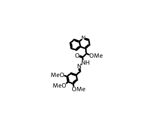 COc1cc(/C=N/NC(=O)C(OC)c2ccnc3ccccc23)cc(OC)c1OC